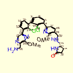 COc1nc(-c2cccc(-c3cccc(-c4cnc(CN)c(OC)n4)c3Cl)c2Cl)ccc1CNC[C@@H]1CCC(=O)N1